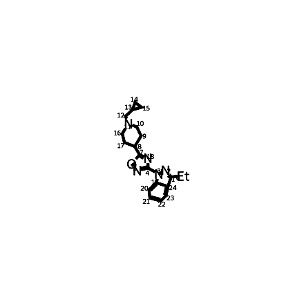 CCc1nn(-c2noc(C3CCN(CC4CC4)CC3)n2)c2ccccc12